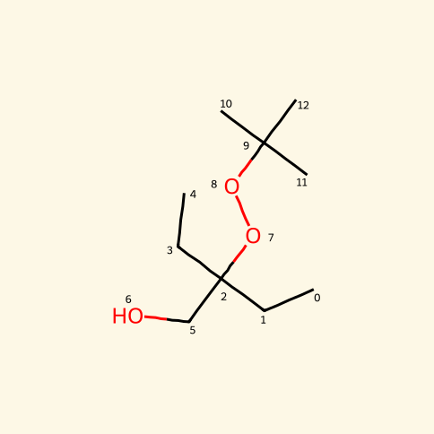 CCC(CC)(CO)OOC(C)(C)C